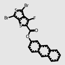 O=C(Oc1ccc2cc3ccccc3cc2c1)c1sc2c(Br)sc(Br)c2c1F